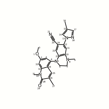 COc1cc(N2CCN(C)c3cc(-n4cc(C)cn4)c(C#N)cc32)c2cc(C)c(=O)n(C)c2c1